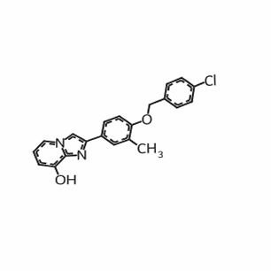 Cc1cc(-c2cn3cccc(O)c3n2)ccc1OCc1ccc(Cl)cc1